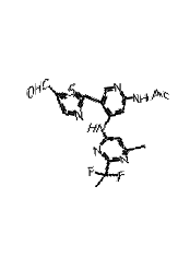 CC(=O)Nc1cc(Nc2cc(C)nc(C(C)(F)F)n2)c(-c2ncc(C=O)s2)cn1